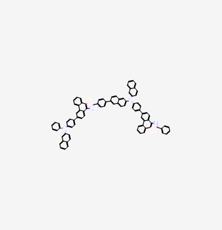 c1ccc(-c2nc3c4ccc(-c5ccc(N(c6ccc7ccccc7c6)c6ccc7cc(-c8ccc(C9Nc%10c(c%11ccccc%11c%11cc(-c%12ccc(N(c%13ccccc%13)c%13ccc%14ccccc%14c%13)cc%12)ccc%10%11)O9)cc8)ccc7c6)cc5)cc4c4ccccc4c3o2)cc1